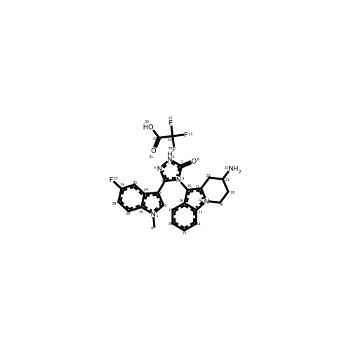 Cn1cc(-c2n[nH]c(=O)n2-c2c3n(c4ccccc24)CCC(N)C3)c2cc(F)ccc21.O=C(O)C(F)(F)F